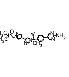 CN(C)C(=O)Cn1cc(-c2cn([C@@](C)(c3ccc(-c4cnc(N)nc4)cc3)C3CC3)cn2)cn1